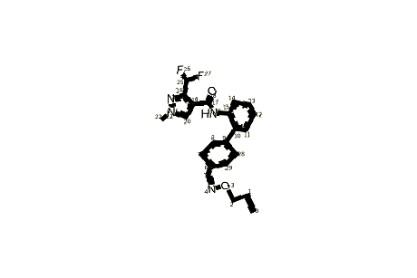 C=CCO/N=C\c1ccc(-c2ccccc2NC(=O)c2cn(C)nc2C(F)F)cc1